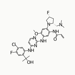 C=CC(=O)Nc1cc(Nc2nccc(Nc3cc(Cl)c(F)cc3C(C)(C)O)n2)c(OC)cc1N1C[C@H](F)C[C@@H]1CN(C)C